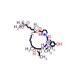 C/C=C/C[C@H]1C(=O)N[C@@H](C(C)C)C(=O)N[C@@H](Cc2cccc(O)c2)C(=O)N2CCCC(N2)C(=O)O[C@H](/C(C)=C/C=C/C(=O)N(C)OC)C/C=C/C=C/C[C@H](C)[C@H]1O